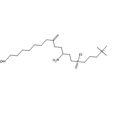 C=C(CCCCCCCCCCCCCCCCC)CCC(N)CCP(=C)(CC)CCC[N+](C)(C)C